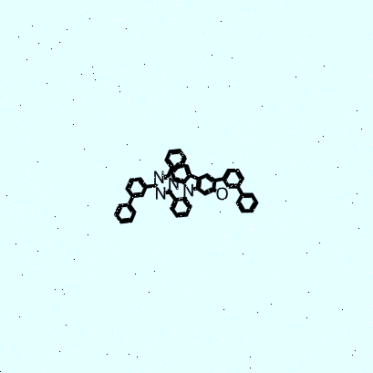 c1ccc(-c2cccc(-c3nc(-c4ccccc4)nc(-c4ccccc4-n4c5ccccc5c5cc6c(cc54)oc4c(-c5ccccc5)cccc46)n3)c2)cc1